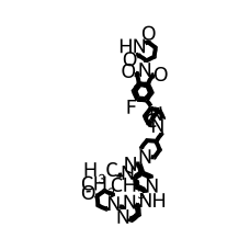 COC1CCN(c2nccc(Nc3cc4c(cn3)c(N3CCC(CN5CC6CCC5CN6c5cc6c(cc5F)C(=O)N(C5CCC(=O)NC5=O)C6=O)CC3)nn4C(C)C)n2)CC1